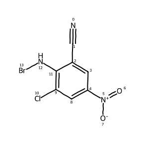 N#Cc1cc([N+](=O)[O-])cc(Cl)c1NBr